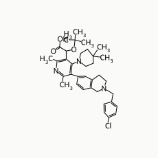 Cc1nc(C)c(C(OC(C)(C)C)C(=O)O)c(N2CCC(C)(C)CC2)c1-c1ccc2c(c1)CCN(Cc1ccc(Cl)cc1)C2